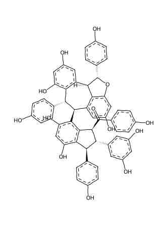 O=C(c1ccc(O)cc1)[C@@H]1c2c([C@@H]3c4cc(O)cc5c4[C@@H](c4cc(O)cc(O)c4[C@H]3c3ccc(O)cc3)[C@H](c3ccc(O)cc3)O5)c(O)cc(O)c2[C@H](c2ccc(O)cc2)[C@H]1c1cc(O)cc(O)c1